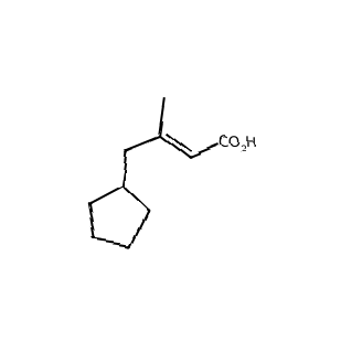 CC(=CC(=O)O)CC1CCCC1